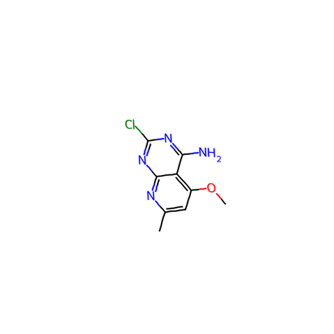 COc1cc(C)nc2nc(Cl)nc(N)c12